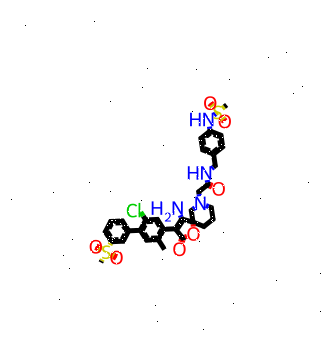 Cc1cc(-c2cccc(S(C)(=O)=O)c2)c(Cl)cc1C1=C(N)C2(CCCN(CC(=O)NCc3ccc(NS(C)(=O)=O)cc3)C2)OC1=O